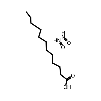 CCCCCCCCCCCC(=O)O.N=O.N=O